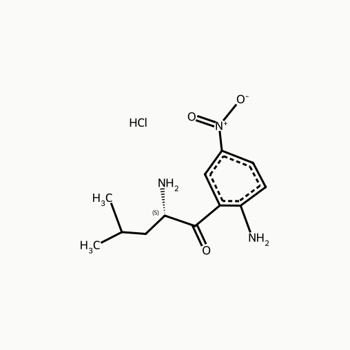 CC(C)C[C@H](N)C(=O)c1cc([N+](=O)[O-])ccc1N.Cl